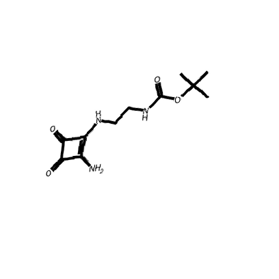 CC(C)(C)OC(=O)NCCNc1c(N)c(=O)c1=O